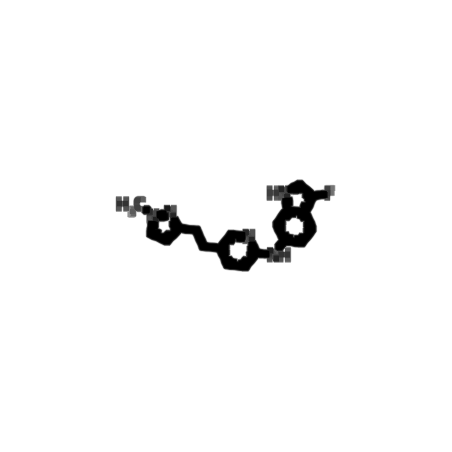 Cn1ccc(CCc2ccc(Nc3ccc4c(F)c[nH]c4c3)nc2)n1